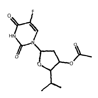 CC(=O)OC1CC(n2cc(F)c(=O)[nH]c2=O)OC1C(C)C